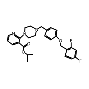 CC(C)OC(=O)c1cccnc1N1CCN(Cc2ccc(OCc3ccc(F)cc3F)cc2)CC1